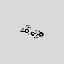 C=C(Nc1ccc(Oc2cc(C(F)(F)F)cc(C(F)(F)F)c2)cc1)c1c(F)cccc1F